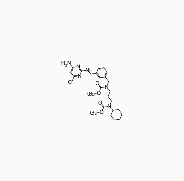 CC(C)(C)OC(=O)N(CCCN(C(=O)OC(C)(C)C)C1CCCCC1)Cc1cccc(CNc2nc(N)cc(Cl)n2)c1